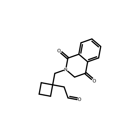 O=CCC1(CN2CC(=O)c3ccccc3C2=O)CCC1